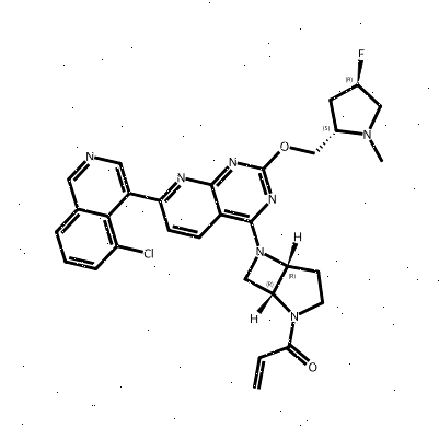 C=CC(=O)N1CC[C@@H]2[C@H]1CN2c1nc(OC[C@@H]2C[C@@H](F)CN2C)nc2nc(-c3cncc4cccc(Cl)c34)ccc12